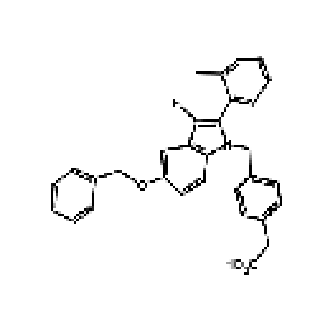 Cc1ccccc1-c1c(F)c2cc(OCc3ccccc3)ccc2n1Cc1ccc(CC(=O)O)cc1